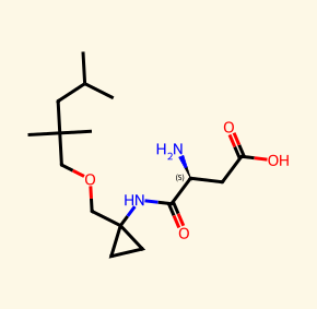 CC(C)CC(C)(C)COCC1(NC(=O)[C@@H](N)CC(=O)O)CC1